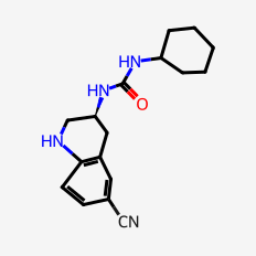 N#Cc1ccc2c(c1)C[C@H](NC(=O)NC1CCCCC1)CN2